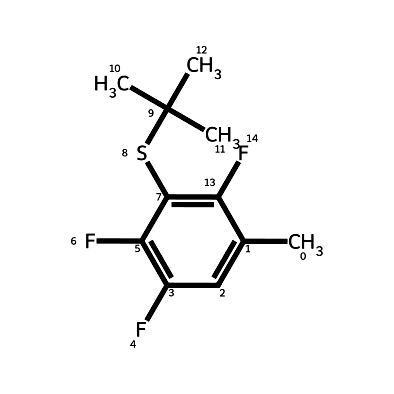 Cc1cc(F)c(F)c(SC(C)(C)C)c1F